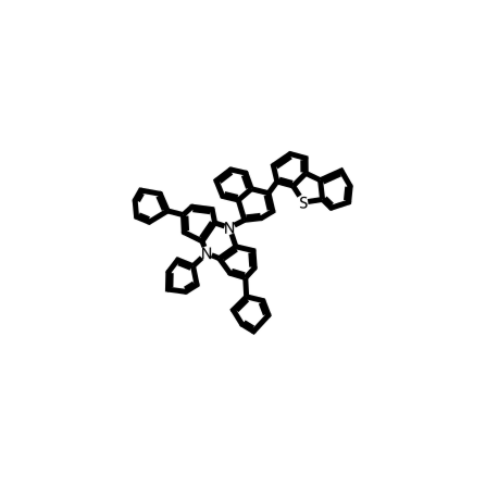 c1ccc(-c2ccc3c(c2)N(c2ccccc2)c2cc(-c4ccccc4)ccc2N3c2ccc(-c3cccc4c3sc3ccccc34)c3ccccc23)cc1